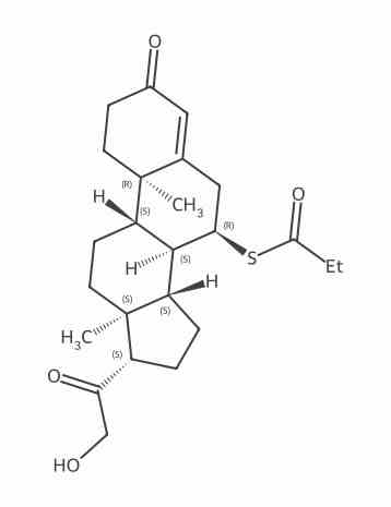 CCC(=O)S[C@@H]1CC2=CC(=O)CC[C@]2(C)[C@H]2CC[C@]3(C)[C@@H](C(=O)CO)CC[C@H]3[C@H]12